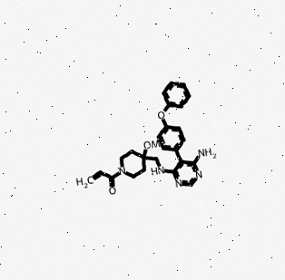 C=CC(=O)N1CCC(CNc2ncnc(N)c2-c2ccc(Oc3ccccc3)cc2)(OC)CC1